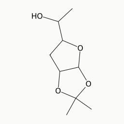 CC(O)C1CC2OC(C)(C)OC2O1